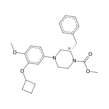 COC(=O)N1CCN(c2ccc(OC)c(OC3CCC3)c2)C[C@@H]1Cc1ccccc1